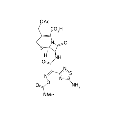 CNC(=O)O/N=C(/C(=O)N[C@@H]1C(=O)N2C(C(=O)O)=C(COC(C)=O)CS[C@H]12)c1nsc(N)n1